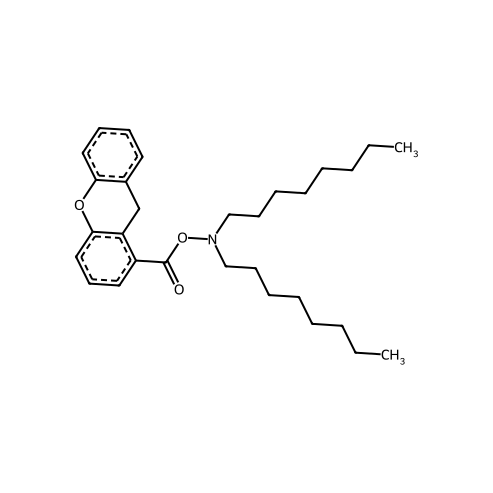 CCCCCCCCN(CCCCCCCC)OC(=O)c1cccc2c1Cc1ccccc1O2